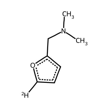 [2H]c1ccc(CN(C)C)o1